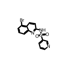 O=S(=O)(Nc1ccc2c(Br)cccc2n1)c1cccnc1